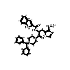 O=C(NC(Cc1ocnc1C(=O)O)C(=O)N1CCN(C(c2ccccc2)c2ccccc2)CC1)c1cc2ccccc2[nH]1